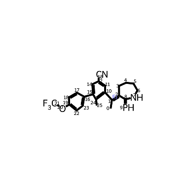 C/C(=C1/CCCCNC1=P)c1cc(C#N)cc(-c2ccc(OC(F)(F)F)cc2)c1C